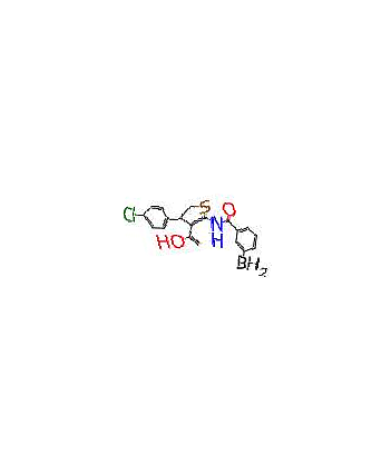 Bc1cccc(C(=O)NC2=C(C(=C)O)C(c3ccc(Cl)cc3)CS2)c1